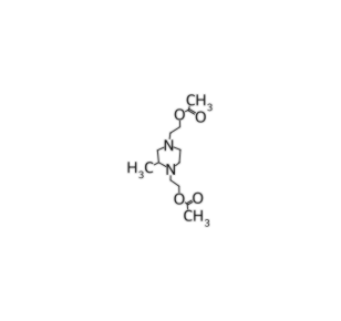 CC(=O)OCCN1CCN(CCOC(C)=O)C(C)C1